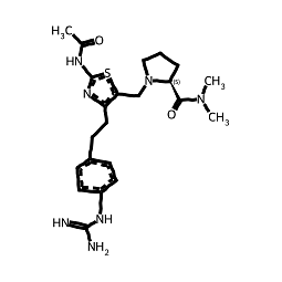 CC(=O)Nc1nc(CCc2ccc(NC(=N)N)cc2)c(CN2CCC[C@H]2C(=O)N(C)C)s1